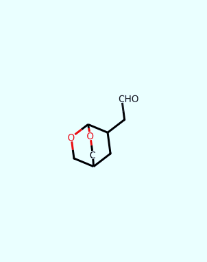 O=CCC1CC2COC1OC2